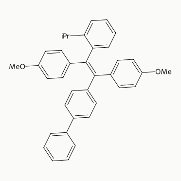 COc1ccc(C(=C(c2ccc(OC)cc2)c2ccccc2C(C)C)c2ccc(-c3ccccc3)cc2)cc1